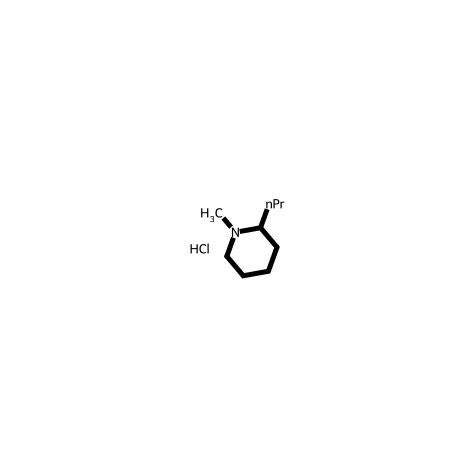 CCCC1CCCCN1C.Cl